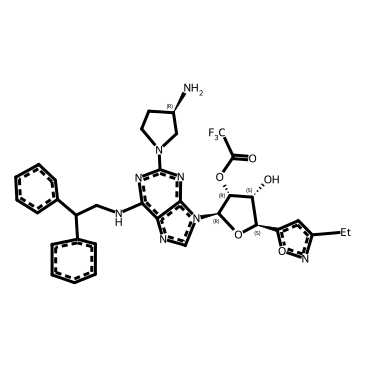 CCc1cc([C@H]2O[C@@H](n3cnc4c(NCC(c5ccccc5)c5ccccc5)nc(N5CC[C@@H](N)C5)nc43)[C@H](OC(=O)C(F)(F)F)[C@@H]2O)on1